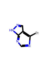 CCc1ncnc2[nH]ncc12